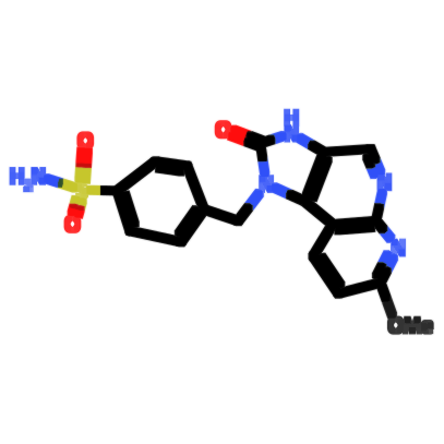 COc1ccc2c(ncc3[nH]c(=O)n(Cc4ccc(S(N)(=O)=O)cc4)c32)n1